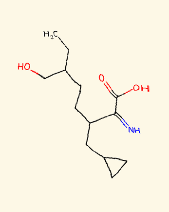 CCC(CO)CCC(CC1CC1)C(=N)C(=O)O